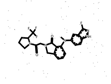 CN(c1ccc2[nH]nc(F)c2c1)c1cccc2c1C(=O)N(CC(=O)N1CCCC1C(F)(F)F)C2